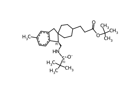 Cc1ccc2c(c1)CC1(CCC(CCC(=O)OC(C)(C)C)CC1)[C@H]2CN[S@+]([O-])C(C)(C)C